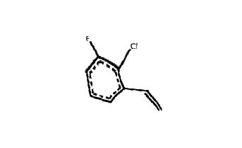 C=Cc1cccc(F)c1Cl